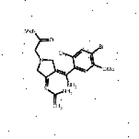 C=C(N)/N=C1/CN(CC(=O)NC)C/C1=C(/N)c1cc(OC)c(Br)cc1Cl